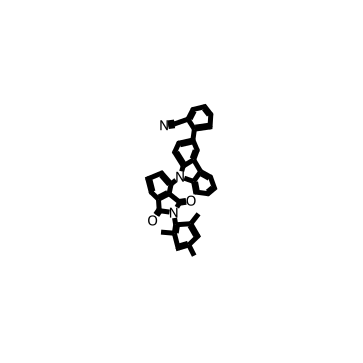 Cc1cc(C)c(N2C(=O)c3cccc(-n4c5ccccc5c5cc(-c6ccccc6C#N)ccc54)c3C2=O)c(C)c1